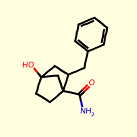 NC(=O)C12CCC(O)(CC1Cc1ccccc1)C2